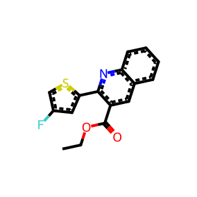 CCOC(=O)c1cc2ccccc2nc1-c1cc(F)cs1